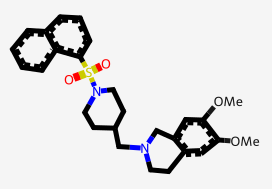 COc1cc2c(cc1OC)CN(CC1CCN(S(=O)(=O)c3cccc4ccccc34)CC1)CC2